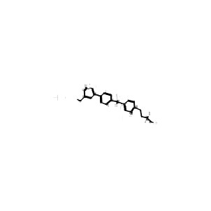 CCC1(CCc2ccc(C(CC)(CC)c3ccc(-c4cncc(CC(=O)O)c4)cc3)cc2C)CO1